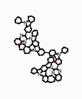 c1ccc(-n2c3ccc(-c4ccc5c(c4)c4cc6c7ccccc7n(-c7nc8ccccc8nc7-c7ccc8c9ccccc9n(-c9ccccc9)c8c7)c6c6c7c8ccccc8ccc7n5c46)cc3c3cc(-c4nc5ccccc5nc4-n4c5ccccc5c5cc6c7ccccc7n7c8ccc9ccccc9c8c(c54)c67)ccc32)cc1